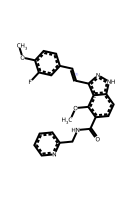 COc1ccc(/C=C/c2n[nH]c3ccc(C(=O)NCc4ccccn4)c(OC)c23)cc1F